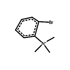 C[N+](C)(C)c1ccccc1Br